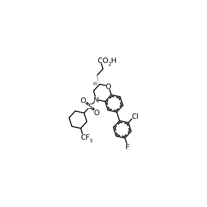 O=C(O)CC[C@H]1CN(S(=O)(=O)C2CCCC(C(F)(F)F)C2)c2cc(-c3ccc(F)cc3Cl)ccc2O1